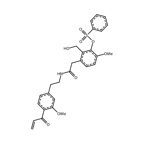 C=CC(=O)c1ccc(CCNC(=O)Cc2ccc(OC)c(OS(=O)(=O)c3ccccc3)c2CO)cc1OC